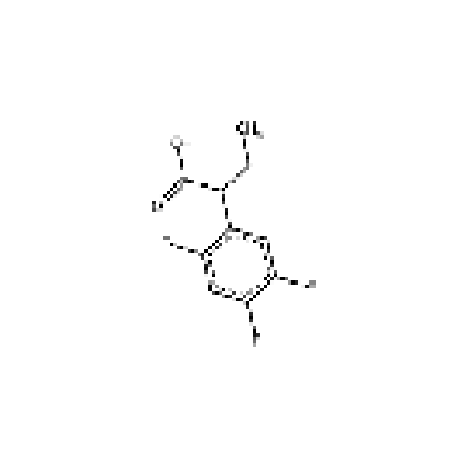 CCC(C(=O)O)c1cc(F)c(F)cc1F